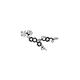 COc1ccc(C2CCc3cc(OC(=O)C(C)(C)C)ccc3C2)c(NC(C)Cc2ccc(CC(=O)O)cc2)c1